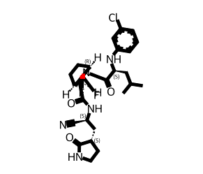 CC(C)C[C@H](Nc1cccc(Cl)c1)C(=O)N1[C@@H]2CC[C@H]([C@@H]1C(=O)N[C@H](C#N)C[C@@H]1CCNC1=O)C(F)(F)C2